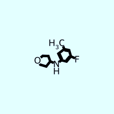 Cc1cc(F)cc(NC2CCOCC2)c1